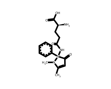 CC1=CC(=O)[N+](NC(=O)CC[C@H](N)C(=O)O)(c2ccccc2)N1C